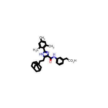 Cc1cc(C)c(-c2nc(C(=O)Nc3cccc(CC(=O)O)c3)c(CCC34CC5CC(CC(C5)C3)C4)[nH]2)c(C)c1